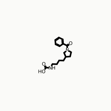 O=C(O)NCCCCC1CCN(C(=O)c2ccccc2)C1